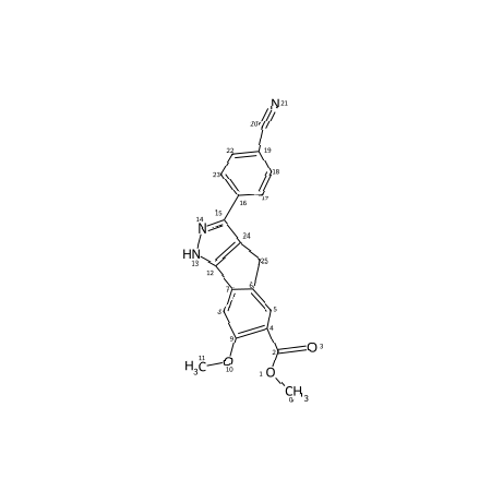 COC(=O)c1cc2c(cc1OC)-c1[nH]nc(-c3ccc(C#N)cc3)c1C2